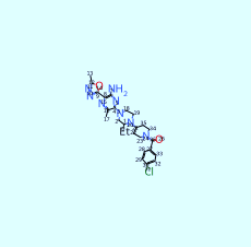 CCC1CN(c2nc(N)c(-c3nnc(C)o3)nc2C)CCN1C1CCN(C(=O)c2ccc(Cl)cc2)CC1